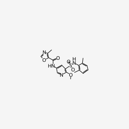 COc1ncc(NC(=O)c2ocnc2C)cc1S(=O)(=O)Nc1c(C)cccc1C